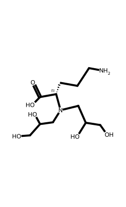 NCCC[C@@H](C(=O)O)N(CC(O)CO)CC(O)CO